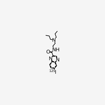 CCCN(CCC)CCNC(=O)c1cnc2cc([125I])ccc2n1